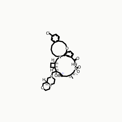 CC(C)CO[C@]1(CN2CCN3CCOC[C@@H]3C2)/C=C/C[C@H](C)[C@@H](C)S(=O)(=O)NC(=O)c2ccc3c(c2)N(CCCCc2cc(Cl)ccc2CCO3)C[C@@H]2CC[C@H]21